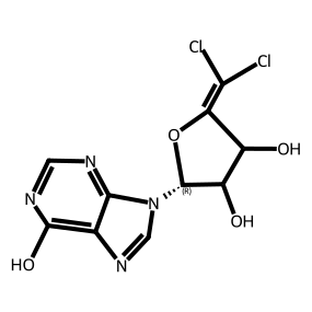 Oc1ncnc2c1ncn2[C@@H]1OC(=C(Cl)Cl)C(O)C1O